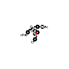 CCCOc1ccc(C=CC(=O)N(Cc2ccc(N3CCN(C(C)=O)CC3)cc2)[C@@H](Cc2ccccc2)C(=O)N2CCN(Cc3ccc(Cl)cc3)CC2)cc1